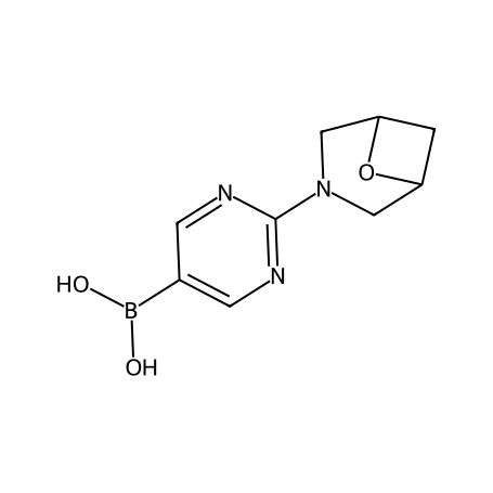 OB(O)c1cnc(N2CC3CC(C2)O3)nc1